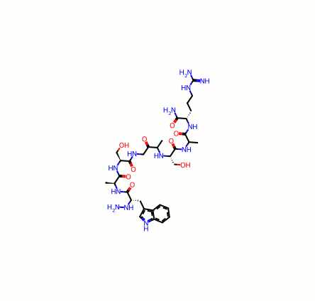 CC(N[C@@H](CO)C(=O)NC(C)C(=O)N[C@@H](CCCNC(=N)N)C(N)=O)C(=O)CNC(=O)[C@H](CO)NC(=O)[C@H](C)NC(=O)[C@H](Cc1c[nH]c2ccccc12)NN